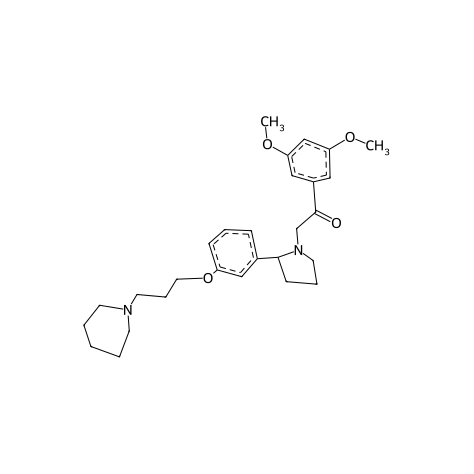 COc1cc(OC)cc(C(=O)CN2CCCC2c2cccc(OCCCN3CCCCC3)c2)c1